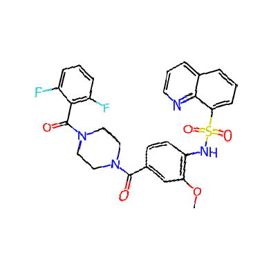 COc1cc(C(=O)N2CCN(C(=O)c3c(F)cccc3F)CC2)ccc1NS(=O)(=O)c1cccc2cccnc12